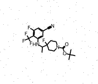 CC(Nc1cc(C#N)cc(F)c1C(F)(F)F)C1(F)CCN(C(=O)OC(C)(C)C)CC1